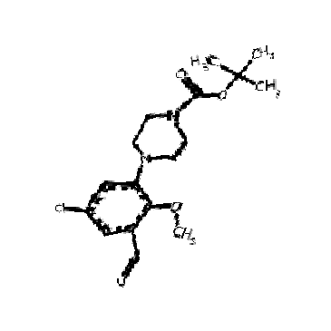 COc1c(C=O)cc(Cl)cc1N1CCN(C(=O)OC(C)(C)C)CC1